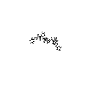 N=C(NC(=O)OCc1ccccc1)NC(=O)c1ccc(C(=O)NCc2ccccc2NC(=O)OCc2ccccc2)o1